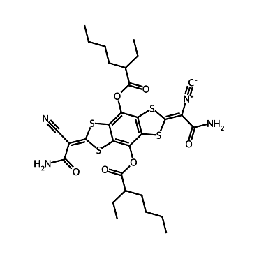 [C-]#[N+]C(C(N)=O)=C1Sc2c(OC(=O)C(CC)CCCC)c3c(c(OC(=O)C(CC)CCCC)c2S1)SC(=C(C#N)C(N)=O)S3